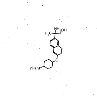 CCCCCC1CCC(Oc2ccc3cc(C(C)(N)CO)ccc3c2)CC1